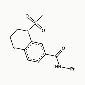 CC(C)NC(=O)c1ccc2c(c1)N(S(C)(=O)=O)CCS2